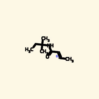 C/[C]=C/C(=O)NC(C)(C)CC